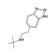 CC(C)(C)NCCc1ccc2nn[nH]c2c1